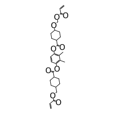 C=CC(=O)OCOC1CCC(C(=O)Oc2ccc(OC(=O)C3CCC(COC(=O)C=C)CC3)c(C)c2C)CC1